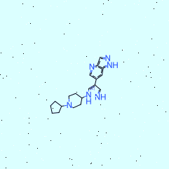 N=C/C(=C\NC1CCN(C2CCCC2)CC1)c1cnc2cn[nH]c2c1